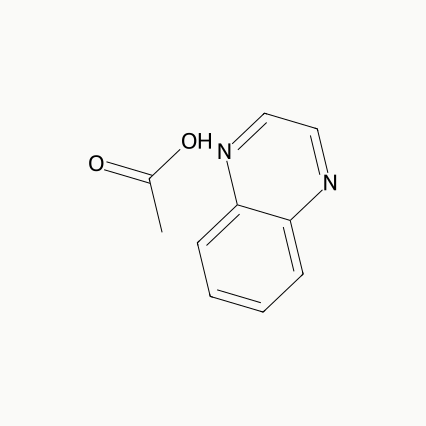 CC(=O)O.c1ccc2nccnc2c1